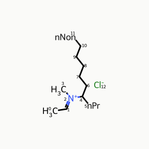 CC=[N+](C)C(CCC)CCCCCCCCCCCCCC.[Cl-]